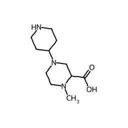 CN1CCN(C2CCNCC2)CC1C(=O)O